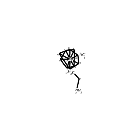 CCN.Cl.[CH]12[CH]3[CH]4[CH]5[CH]1[Fe]23451678[CH]2[CH]1[CH]6[CH]7[CH]28